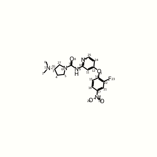 CN(C)[C@H]1CCN(C(=O)Nc2cc(Oc3ccc([N+](=O)[O-])cc3F)ccn2)C1